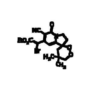 CCOC(=O)C(Br)c1cc2n(c(=O)c1C#N)CCC21CC(C)(C)COO1